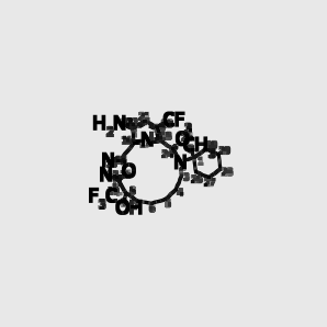 CC1(N2CCCCC[C@](O)(C(F)(F)F)c3nnc(o3)-c3nc(c(C(F)(F)F)cc3N)C2=O)CCCCC1